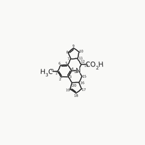 Cc1cc2c3c(c1)C1C=CCC1C(C(=O)O)N3CC1CC=CC21